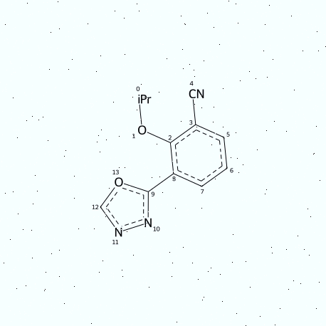 CC(C)Oc1c(C#N)cccc1-c1nnco1